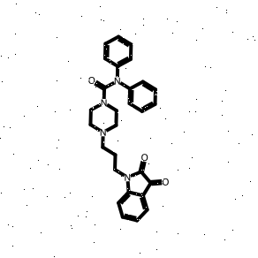 O=C1C(=O)N(CCCN2CCN(C(=O)N(c3ccccc3)c3ccccc3)CC2)c2ccccc21